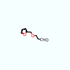 O=CCCOCc1ccco1